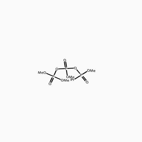 COP(=O)(OC)OP(=O)(OC)OP(=O)(OC)C(C)C